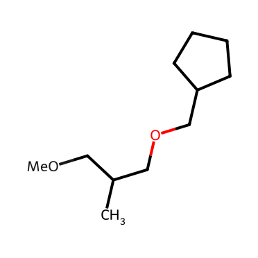 COCC(C)COCC1CCCC1